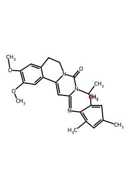 COc1cc2c(cc1OC)-c1c/c(=N/c3c(C)cc(C)cc3C)n(C(C)C)c(=O)n1CC2